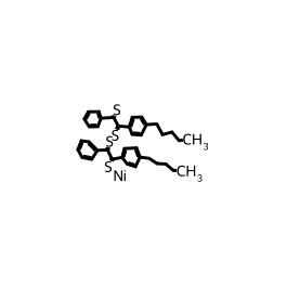 CCCCCc1ccc(C(=S)C(=S)c2ccccc2)cc1.CCCCCc1ccc(C(=S)C(=S)c2ccccc2)cc1.[Ni]